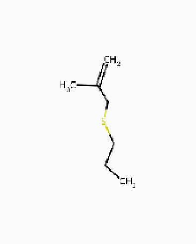 C=C(C)CSCCC